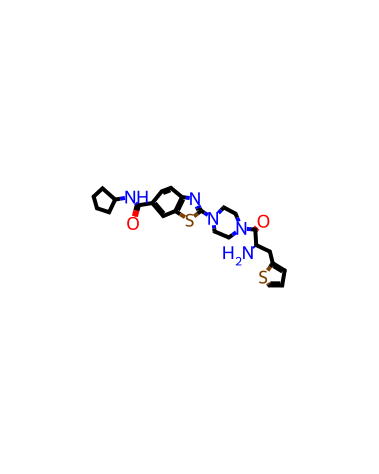 N[C@@H](Cc1cccs1)C(=O)N1CCN(c2nc3ccc(C(=O)NC4CCCC4)cc3s2)CC1